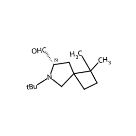 CC(C)(C)N1CC2(CCC2(C)C)C[C@H]1C=O